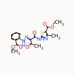 CCOC(=O)c1sc(NC(=O)/C(=N/Nc2ccccc2C(=O)OC)C(C)=O)nc1C